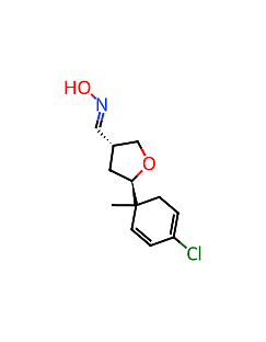 CC1([C@H]2C[C@H](/C=N/O)CO2)C=CC(Cl)=CC1